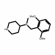 COc1cccc(OC)c1CN(C)C1CCNCC1